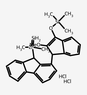 COC1=C(O[Si](C)(C)C)c2ccccc2C1c1cccc2c1[CH]([Zr]([CH3])([CH3])=[SiH2])c1ccccc1-2.Cl.Cl